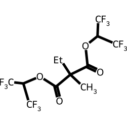 CCC(C)(C(=O)OC(C(F)(F)F)C(F)(F)F)C(=O)OC(C(F)(F)F)C(F)(F)F